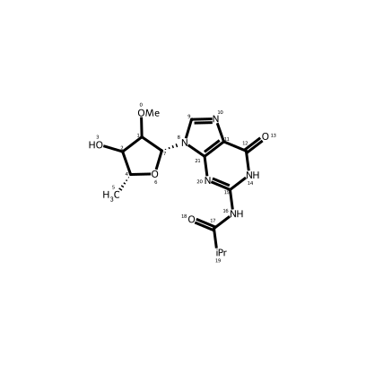 COC1C(O)[C@@H](C)O[C@H]1n1cnc2c(=O)[nH]c(NC(=O)C(C)C)nc21